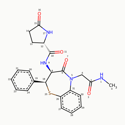 CNC(=O)CN1C(=O)[C@H](NC(=O)[C@@H]2CCC(=O)N2)[C@H](c2ccccc2)Sc2ccccc21